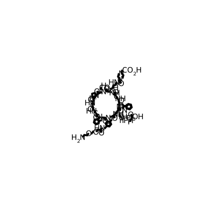 CCCOCC[C@@H]1NC(=O)[C@H](Cc2ccc(CNC(=O)COCCOCCN)cc2)NC(=O)[C@H](Cc2ccccc2)N(C)C(=O)CNC(=O)CNC(=O)[C@H]2CCCN2C(=O)[C@H](CC(=O)O)NC(=O)[C@H](CCCCNC(=O)N2CCN(CC(=O)O)CC2)NC(=O)CNC(=O)[C@H](Cc2c[nH]c3ccccc23)NC1=O.O=C(O)C(F)(F)F